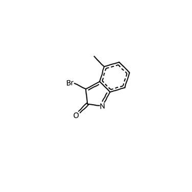 Cc1cccc2c1=C(Br)C(=O)N=2